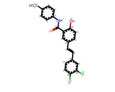 O=C(O)c1ccc(NC(=O)c2cc(/C=C/c3ccc(Cl)c(Cl)c3)ccc2O)cc1